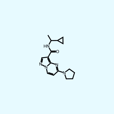 CC(NC(=O)c1cnn2ccc(N3CCCC3)nc12)C1CC1